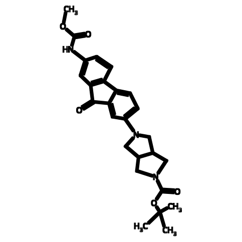 COC(=O)Nc1ccc2c(c1)C(=O)c1cc(N3CC4CN(C(=O)OC(C)(C)C)CC4C3)ccc1-2